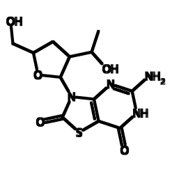 CC(O)C1CC(CO)OC1n1c(=O)sc2c(=O)[nH]c(N)nc21